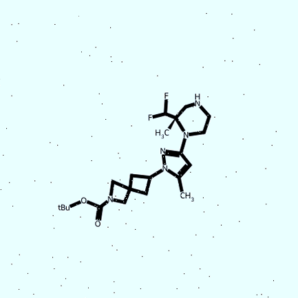 Cc1cc(N2CCNC[C@@]2(C)C(F)F)nn1C1CC2(C1)CN(C(=O)OC(C)(C)C)C2